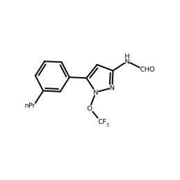 CCCc1cccc(-c2cc(NC=O)nn2OC(F)(F)F)c1